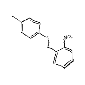 Cc1ccc(SCc2ccccc2[N+](=O)[O-])cc1